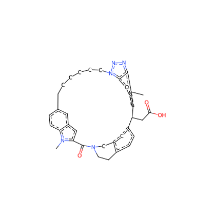 Cc1c2ccc3c1nnn3CCCCCCc1ccc3c(c1)cc(n3C)C(=O)N1CCc3ccc(cc3C1)C2CC(=O)O